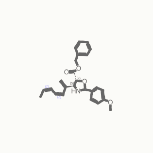 C=C(/C=C\C=C/C)[C@@H]1NC(c2ccc(OC)cc2)O[C@H]1C(=O)OCc1ccccc1